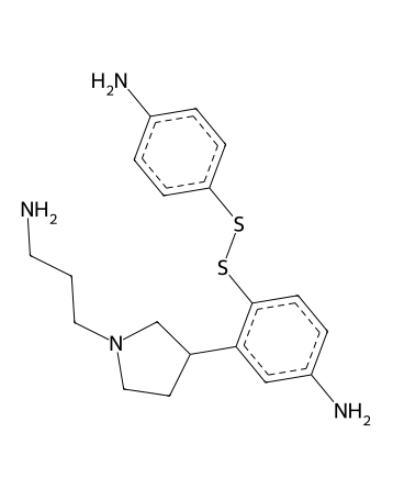 NCCCN1CCC(c2cc(N)ccc2SSc2ccc(N)cc2)C1